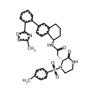 Cc1ccc(S(=O)(=O)N2CCNC(=O)[C@H]2CC(=O)N[C@@H]2CCCc3cc(-c4ccccc4-c4nc(C)no4)ccc32)cc1